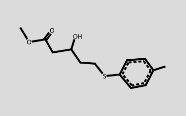 COC(=O)CC(O)CCSc1ccc(C)cc1